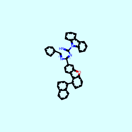 N=C(/N=C(\N=C\c1ccccc1)c1ccc2c(c1)oc1cccc(-c3cccc4ccccc34)c12)n1c2ccccc2c2ccccc21